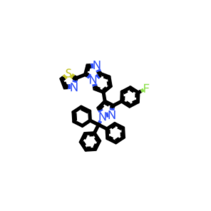 Fc1ccc(-c2nn(C(c3ccccc3)(c3ccccc3)C3C=CC=CC3)cc2-c2ccc3ncc(-c4nccs4)n3c2)cc1